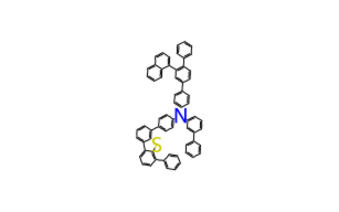 c1ccc(-c2cccc(N(c3ccc(-c4ccc(-c5ccccc5)c(-c5cccc6ccccc56)c4)cc3)c3ccc(-c4cccc5c4sc4c(-c6ccccc6)cccc45)cc3)c2)cc1